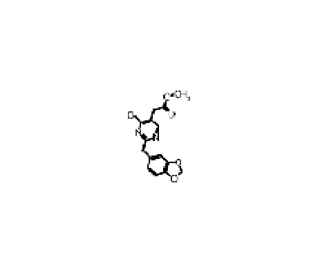 COC(=O)Cc1cnc(Cc2ccc3c(c2)OCO3)nc1Cl